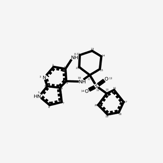 Nc1cnc2[nH]ccc2c1NC1(S(=O)(=O)c2ccccc2)CCCCC1